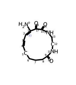 N/C1=C/C=CCCCCC(=O)NCCNC(=O)C1=O